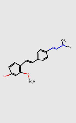 CN(C)N=Nc1ccc(C=Cc2ccc(O)cc2OS(=O)(=O)O)cc1